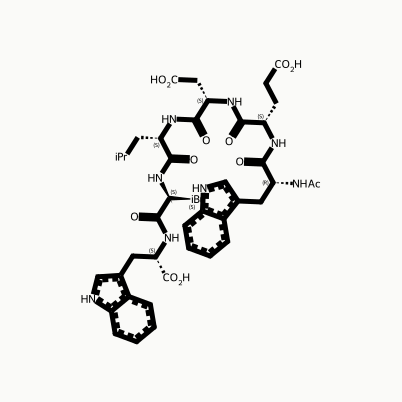 CC[C@H](C)[C@H](NC(=O)[C@H](CC(C)C)NC(=O)[C@H](CC(=O)O)NC(=O)[C@H](CCC(=O)O)NC(=O)[C@@H](Cc1c[nH]c2ccccc12)NC(C)=O)C(=O)N[C@@H](Cc1c[nH]c2ccccc12)C(=O)O